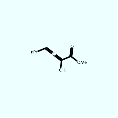 CCCC=C=C(C)C(=O)OC